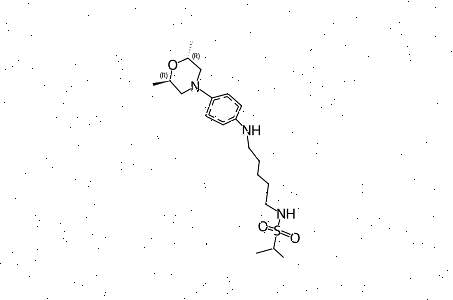 CC(C)S(=O)(=O)NCCCCCNc1ccc(N2C[C@@H](C)O[C@H](C)C2)cc1